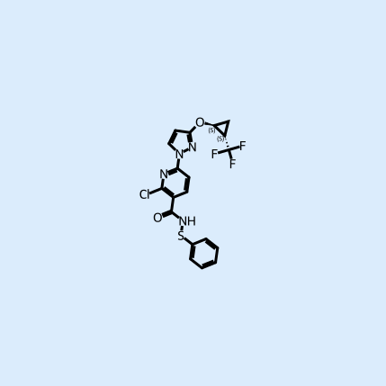 O=C(NSc1ccccc1)c1ccc(-n2ccc(O[C@H]3C[C@@H]3C(F)(F)F)n2)nc1Cl